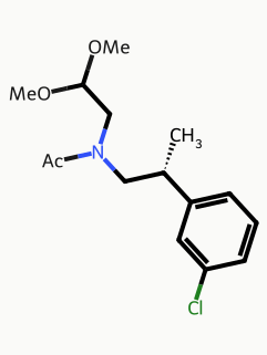 COC(CN(C[C@H](C)c1cccc(Cl)c1)C(C)=O)OC